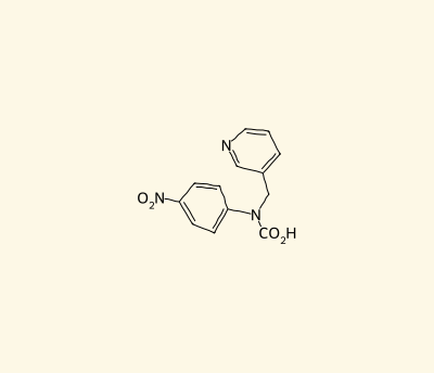 O=C(O)N(Cc1cccnc1)c1ccc([N+](=O)[O-])cc1